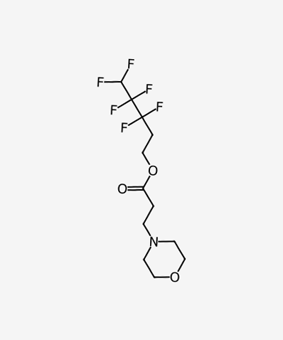 O=C(CCN1CCOCC1)OCCC(F)(F)C(F)(F)C(F)F